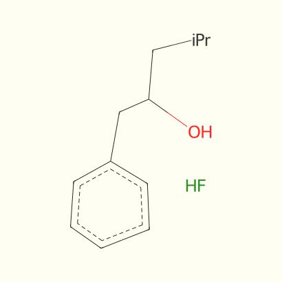 CC(C)CC(O)Cc1ccccc1.F